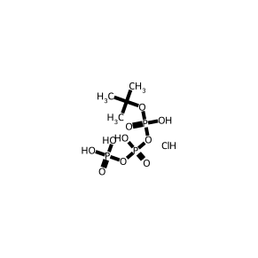 CC(C)(C)OP(=O)(O)OP(=O)(O)OP(=O)(O)O.Cl